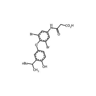 CCCCC(C)c1cc(Oc2c(Br)cc(NC(=O)CC(=O)O)cc2Br)ccc1O